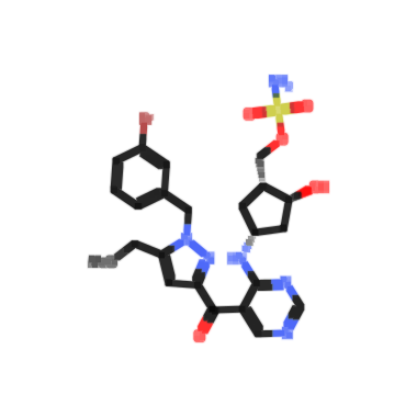 COCc1cc(C(=O)c2cncnc2N[C@@H]2C[C@H](COS(N)(=O)=O)[C@@H](O)C2)nn1Cc1cccc(Br)c1